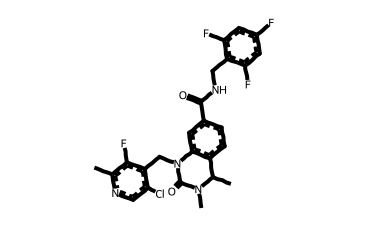 Cc1ncc(Cl)c(CN2C(=O)N(C)C(C)c3ccc(C(=O)NCc4c(F)cc(F)cc4F)cc32)c1F